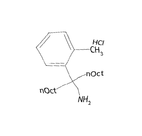 CCCCCCCCC(N)(CCCCCCCC)c1ccccc1C.Cl